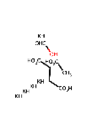 CC(=O)O.O=C(O)CCC(=O)O.O=CO.[KH].[KH].[KH].[KH].[KH]